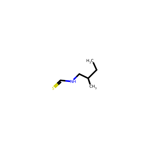 CCC(C)CN[C]=S